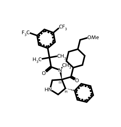 COCC1CCC(C(=O)[C@@]2(N(C)C(=O)C(C)(C)c3cc(C(F)(F)F)cc(C(F)(F)F)c3)CNC[C@H]2c2ccccc2)CC1